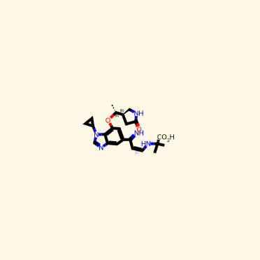 C[C@@H](Oc1cc(C(=N)/C=C\NC(C)(C)C(=O)O)cc2ncn(C3CC3)c12)[C@H]1CNC(=O)C1